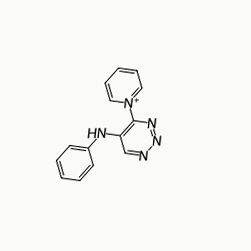 c1ccc(Nc2cnnnc2-[n+]2ccccc2)cc1